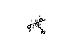 CCc1cccc(CNC[C@@H](OC(=O)CCCCn2cccn2)[C@@H](N)Cc2cc(F)cc(F)c2)c1